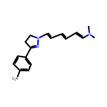 CN(C)C=CC=CC=CN1CCC(c2ccc([N+](=O)[O-])cc2)=N1